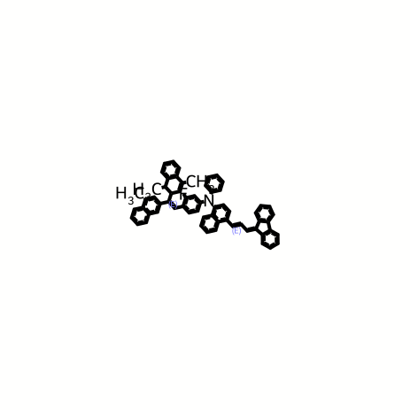 CC1=CC(/C(=C\c2ccc(N(c3ccccc3)c3ccc(/C=C/C=C4c5ccccc5-c5ccccc54)c4ccccc34)cc2F)c2cc(C)c3ccccc3c2)C(C)c2ccccc21